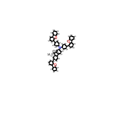 CC1(C)c2cc(-c3cccc4c3oc3ccccc34)ccc2-c2ccc(N(c3ccc(-c4cccc5c4oc4ccccc45)cc3)c3ccc(-c4cccc5c4oc4ccccc45)cc3)cc21